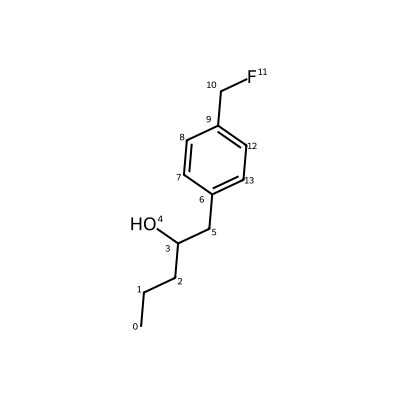 CCCC(O)Cc1ccc(CF)cc1